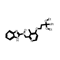 CCCC(CCOc1ccnc(C[S+]([O-])c2nc3ccccc3[nH]2)c1C)(OCC)OCC